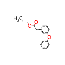 CCCOC(=O)Cc1cccc(Oc2ccccc2)c1